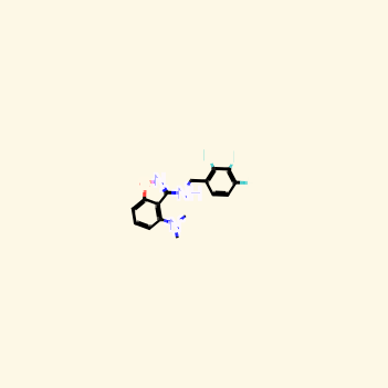 CN(C)c1cccc2onc(NCc3ccc(F)c(F)c3F)c12